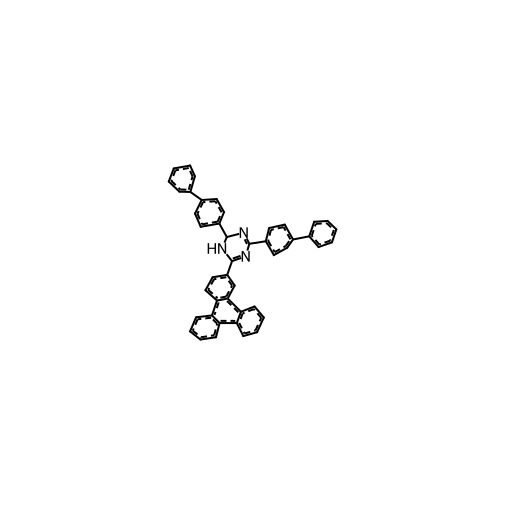 c1ccc(-c2ccc(C3=NC(c4ccc(-c5ccccc5)cc4)NC(c4ccc5c6ccccc6c6ccccc6c5c4)=N3)cc2)cc1